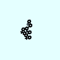 CC1(C)c2ccccc2-c2c(-c3ccccc3N(c3cccc(-c4cccc5c4oc4ccccc45)c3)c3cccc4c3-c3ccccc3C4(C)C)cccc21